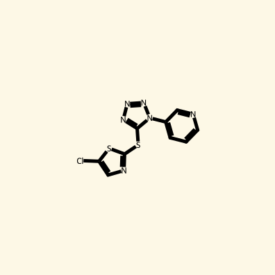 Clc1cnc(Sc2nnnn2-c2cccnc2)s1